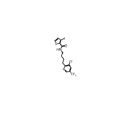 O=C(NCCCCc1ncc(C(F)(F)F)cc1Cl)c1sccc1I